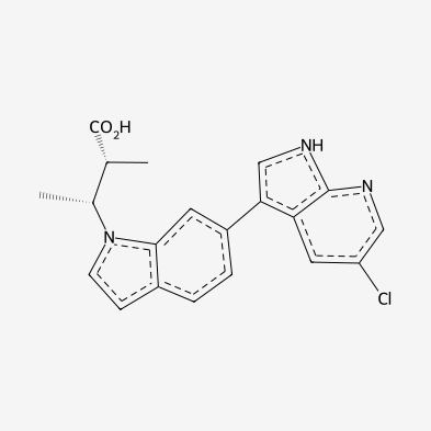 C[C@H]([C@@H](C)C(=O)O)n1ccc2ccc(-c3c[nH]c4ncc(Cl)cc34)cc21